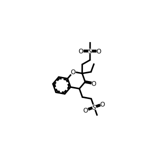 CCC1(CCS(C)(=O)=O)Oc2ccccc2C(CCS(C)(=O)=O)C1=O